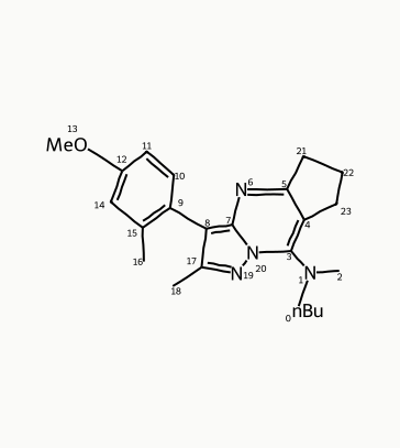 CCCCN(C)c1c2c(nc3c(-c4ccc(OC)cc4C)c(C)nn13)CCC2